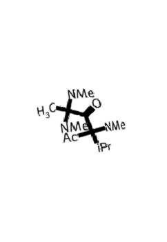 CNC(C)(NC)C(=O)C(NC)(C(C)=O)C(C)C